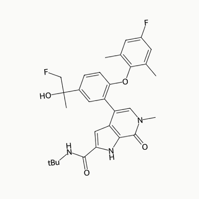 Cc1cc(F)cc(C)c1Oc1ccc(C(C)(O)CF)cc1-c1cn(C)c(=O)c2[nH]c(C(=O)NC(C)(C)C)cc12